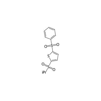 CC(C)S(=O)(=O)c1ccc(S(=O)(=O)c2ccccc2)s1